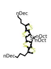 CCCCCCCCCCCCCc1csc2c3c(sc12)-c1sc2c(CCCCCCCCCCCCC)csc2c1[Si]3(CCCCCCCC)CCCCCCCC